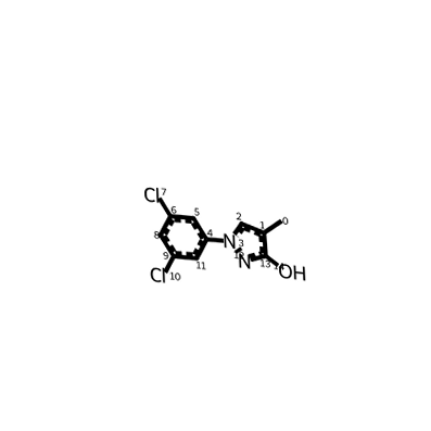 Cc1cn(-c2cc(Cl)cc(Cl)c2)nc1O